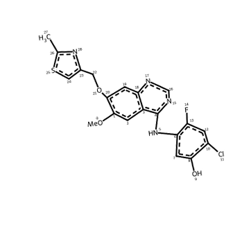 COc1cc2c(Nc3cc(O)c(Cl)cc3F)ncnc2cc1OCc1csc(C)n1